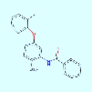 Cc1cccc(C)c1Oc1ccc(C(=O)O)c(NC(=O)c2ccccc2)c1